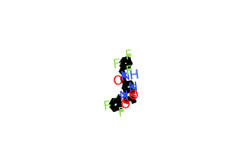 CC1Oc2ncc(C(=O)NCc3c(F)cc(F)cc3F)cc2N(Cc2cc(F)cc(F)c2)C1=O